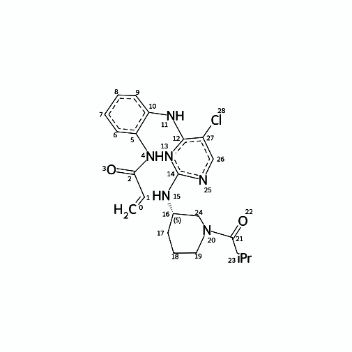 C=CC(=O)Nc1ccccc1Nc1nc(N[C@H]2CCCN(C(=O)C(C)C)C2)ncc1Cl